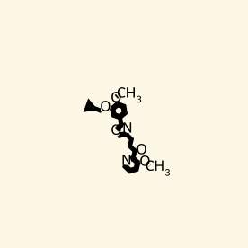 COc1ccc(-c2nc(CCC(=O)c3ncccc3OC)co2)cc1OCC1CC1